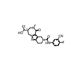 CCC(O)[C@H]1CN(C)C(=O)c2c3c(nn2C1)CCN(C(=O)Nc1ccc(F)c(C#N)c1)C3